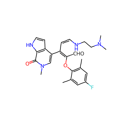 Cc1cc(F)cc(C)c1O/C(C=O)=C(/C=C\NCCN(C)C)c1cn(C)c(=O)c2[nH]ccc12